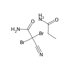 CCC(N)=O.N#CC(Br)(Br)C(N)=O